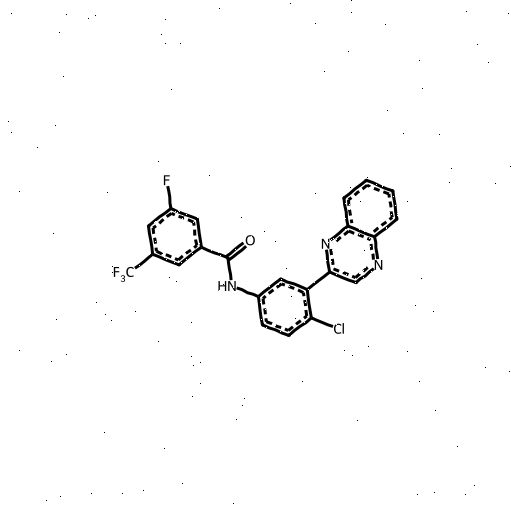 O=C(Nc1ccc(Cl)c(-c2cnc3ccccc3n2)c1)c1cc(F)cc(C(F)(F)F)c1